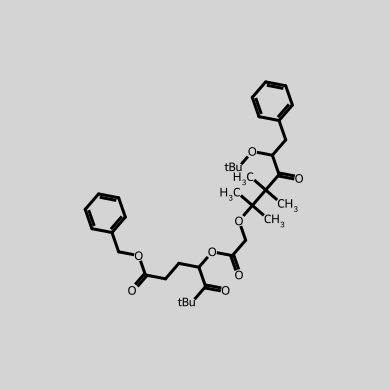 CC(C)(C)OC(Cc1ccccc1)C(=O)C(C)(C)C(C)(C)OCC(=O)OC(CCC(=O)OCc1ccccc1)C(=O)C(C)(C)C